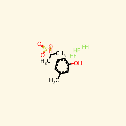 CCC.Cc1cccc(O)c1.F.F.F.O=[SH](=O)O